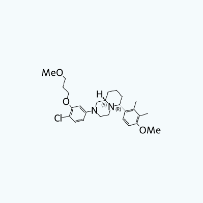 COCCCOc1cc(N2CCN3[C@@H](CCC[C@@H]3c3ccc(OC)c(C)c3C)C2)ccc1Cl